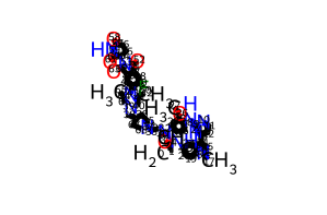 C=CC(=O)Nc1cc(Nc2nccc(-c3cn(C)c4ccccc34)n2)c(OC)cc1N(C)CCN1CCC(CN2CC(C)N(c3cc4c(cc3F)C(=O)N(C3CCC(=O)NC3=O)C4=O)C(C)C2)CC1